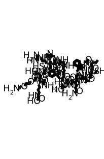 CC[C@H](C)[C@H](NC(C)=O)C(=O)N[C@@H](CS)C(=O)N[C@H](C(=O)N[C@@H](Cc1cn(C)c2ccccc12)C(=O)N[C@@H](CCC(N)=O)C(=O)N[C@@H](CC(=O)O)C(=O)N[C@@H](Cc1c[nH]c2ccccc12)C(=O)NCC(=O)N[C@@H](C)C(=O)N[C@@H](Cc1c[nH]cn1)C(=O)N[C@@H](CCCNC(=N)N)C(=O)N[C@@H](CS)C(=O)N[C@H](C(=O)N(C(=O)COCCOCCN)[C@@H](CCCCNC(=O)O)C(N)=O)[C@@H](C)O)C(C)C